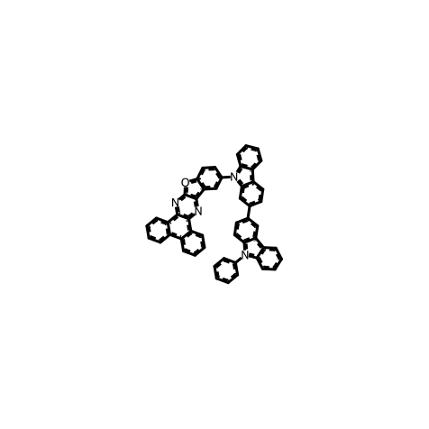 c1ccc(-n2c3ccccc3c3cc(-c4ccc5c6ccccc6n(-c6ccc7oc8nc9c%10ccccc%10c%10ccccc%10c9nc8c7c6)c5c4)ccc32)cc1